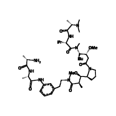 CC[C@H](C)[C@@H]([C@@H](CC(=O)N1CCC[C@H]1[C@H](OC)[C@@H](C)C(=O)N(C)CCc1cccc(NC(=O)[C@H](C)NC(=O)[C@H](C)N)c1)OC)N(C)C(=O)[C@@H](NC(=O)[C@H](C)N(C)C)C(C)C